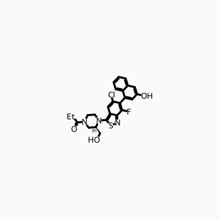 CCC(=O)N1CCN(c2snc3c(F)c(-c4cc(O)cc5ccccc45)c(Cl)cc23)[C@@H](CO)C1